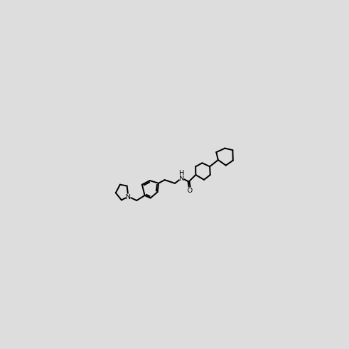 O=C(NCCc1ccc(CN2CCCC2)cc1)C1CCC(C2CCCCC2)CC1